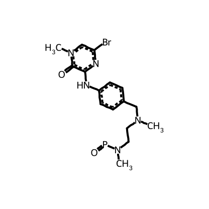 CN(CCN(C)P=O)Cc1ccc(Nc2nc(Br)cn(C)c2=O)cc1